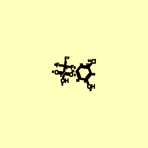 O=S(=O)(O)C(F)(F)F.Oc1cccc(Cl)c1